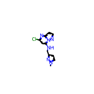 Cn1ccc(CNc2cc(Cl)nc3ccnn23)n1